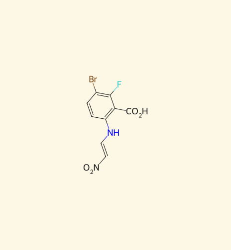 O=C(O)c1c(NC=C[N+](=O)[O-])ccc(Br)c1F